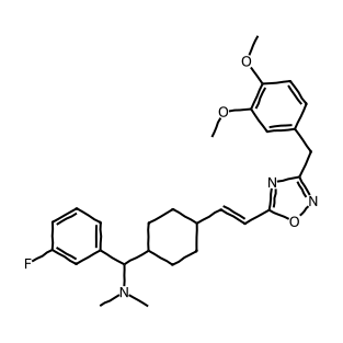 COc1ccc(Cc2noc(C=CC3CCC(C(c4cccc(F)c4)N(C)C)CC3)n2)cc1OC